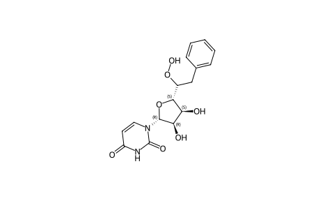 O=c1ccn([C@@H]2O[C@H](C(Cc3ccccc3)OO)[C@@H](O)[C@H]2O)c(=O)[nH]1